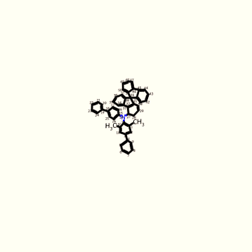 Cc1cc(-c2ccccc2)cc(C)c1N(c1ccc(-c2ccccc2)cc1)C1CC=CC2=C1c1ccccc1C21c2ccccc2-c2ccccc21